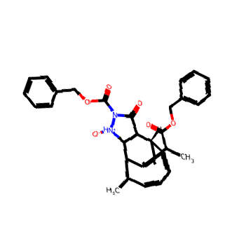 CC1/C=C\C=C/[C@H]2C3C(=O)N(C(=O)OCc4ccccc4)[NH+]([O-])C3C1C1C=CC=CC12C(C)C(=O)OCc1ccccc1